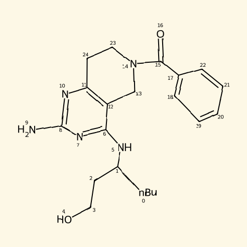 CCCCC(CCO)Nc1nc(N)nc2c1CN(C(=O)c1ccccc1)CC2